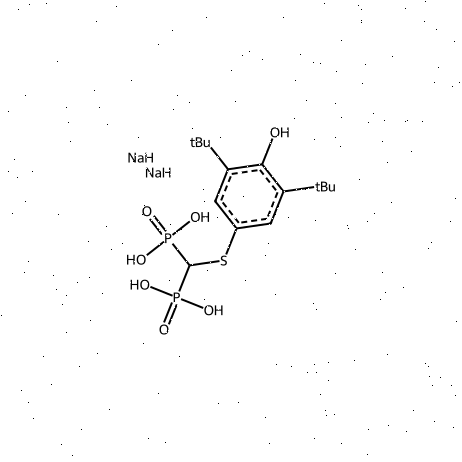 CC(C)(C)c1cc(SC(P(=O)(O)O)P(=O)(O)O)cc(C(C)(C)C)c1O.[NaH].[NaH]